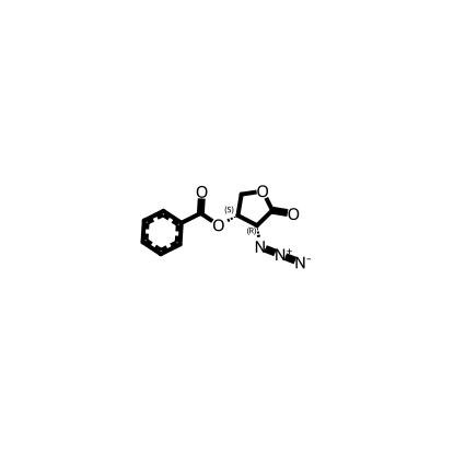 [N-]=[N+]=N[C@H]1C(=O)OC[C@H]1OC(=O)c1ccccc1